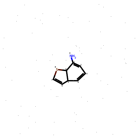 NC1=CC=CC2C=CSC12